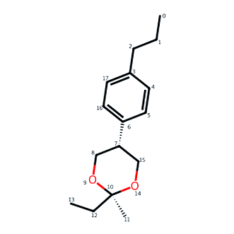 CCCc1ccc([C@H]2CO[C@](C)(CC)OC2)cc1